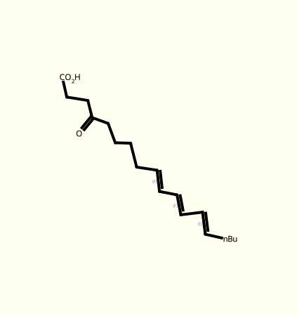 CCCC/C=C/C=C/C=C/CCCCC(=O)CCC(=O)O